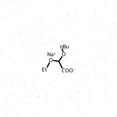 CCCCOC(OCC)C(=O)[O-].[Na+]